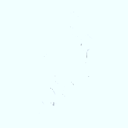 CC(=O)Nc1nc(NCC(O)COc2cccc(CN3CCCCC3)c2)n(C)n1.O